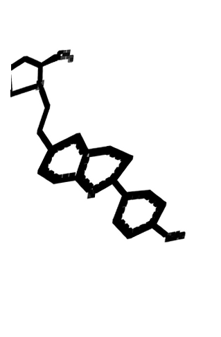 CSc1ccc(-c2ccc3cc(CCN4CCC[C@H]4C)ccc3n2)cc1